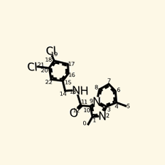 Cc1nc2c(C)cccn2c1C(=O)NCc1ccc(Cl)c(Cl)c1